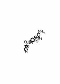 N[C@H]1CC[C@H](NS(=O)(=O)c2ccc(CNC(=O)c3cc4ccncc4o3)cc2)CC1